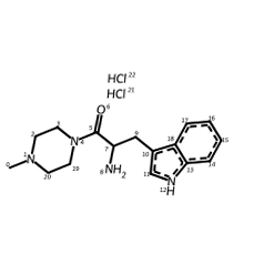 CN1CCN(C(=O)C(N)Cc2c[nH]c3ccccc23)CC1.Cl.Cl